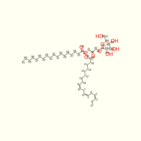 CC/C=C\C/C=C\C/C=C\CCCCCCCC(=O)OC(COC(=O)CCCCCCCCCCCCCCCCC)COC1OC(CO)C(O)C(O)C1O